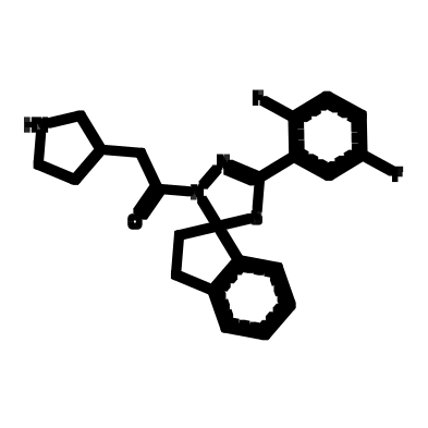 O=C(CC1CCNC1)N1N=C(c2cc(F)ccc2F)SC12CCc1ccccc12